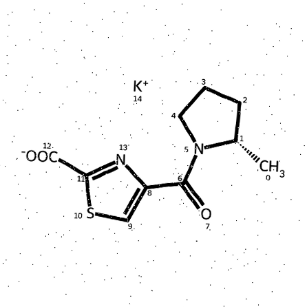 C[C@H]1CCCN1C(=O)c1csc(C(=O)[O-])n1.[K+]